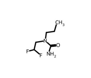 CCCN(CC(F)F)C(N)=O